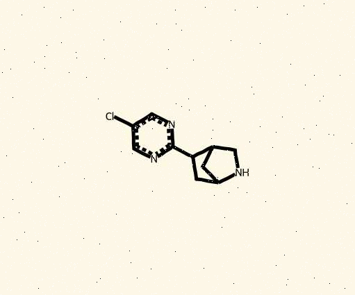 Clc1cnc(C2CC3CC2CN3)nc1